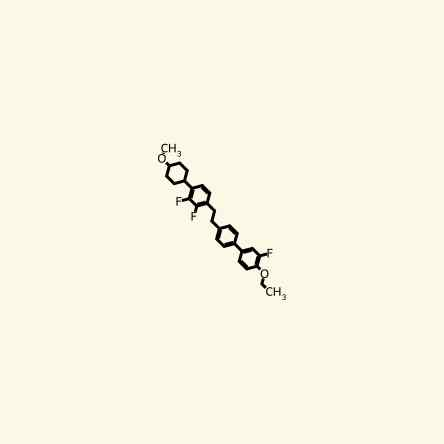 CCOc1ccc(-c2ccc(CCc3ccc(C4CCC(OC)CC4)c(F)c3F)cc2)cc1F